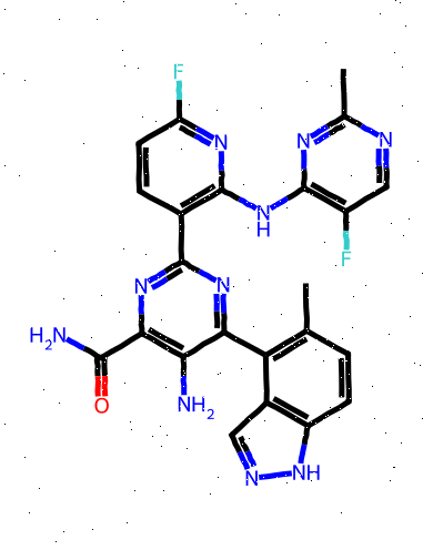 Cc1ncc(F)c(Nc2nc(F)ccc2-c2nc(C(N)=O)c(N)c(-c3c(C)ccc4[nH]ncc34)n2)n1